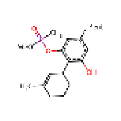 CCCCCc1cc(O)c(C2C=C(C)CCC2)c(OP(C)(=O)OC)c1